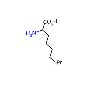 CC(C)CCCCC(N)C(=O)O